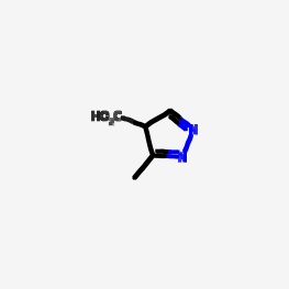 CC1=NN=CC1C(=O)O